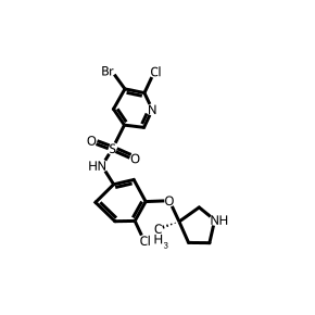 C[C@@]1(Oc2cc(NS(=O)(=O)c3cnc(Cl)c(Br)c3)ccc2Cl)CCNC1